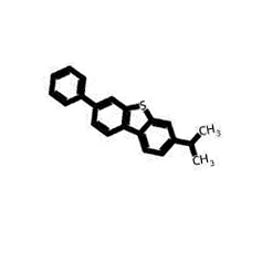 CC(C)c1ccc2c(c1)sc1cc(-c3ccccc3)ccc12